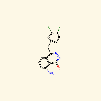 Nc1cccc2c(Cc3ccc(F)c(Br)c3)n[nH]c(=O)c12